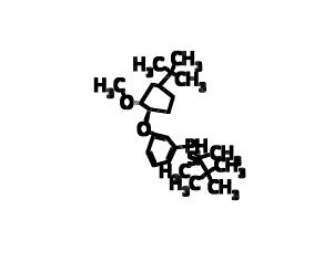 CO[C@@H]1CC(C(C)(C)C)CC[C@H]1Oc1cccc(P[Si](C)(C)C(C)(C)C)c1